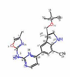 Cc1coc(Nc2nccc(-c3cc(C#N)c4c(c3)[C@@](C)(CO[Si](C)(C)C(C)(C)C)CN4)n2)n1